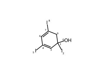 OC1(I)C=C(I)C=C(I)C1